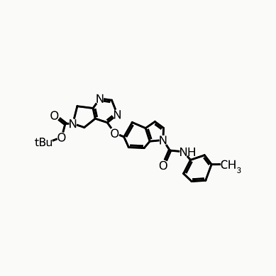 Cc1cccc(NC(=O)n2ccc3cc(Oc4ncnc5c4CN(C(=O)OC(C)(C)C)C5)ccc32)c1